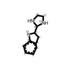 c1ccc2c(c1)CC(C1NCCN1)[N]2